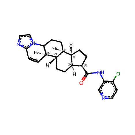 O=C(Nc1cnccc1Cl)[C@@H]1CC[C@H]2[C@@H]3CCC4[C@H](C=Cc5nccn54)[C@H]3CC[C@@H]21